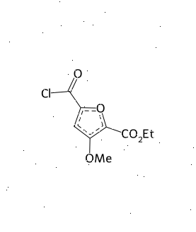 CCOC(=O)c1oc(C(=O)Cl)cc1OC